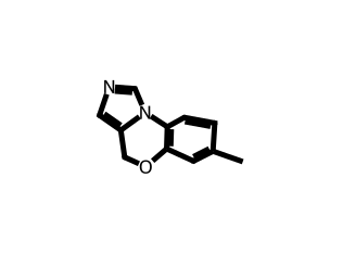 Cc1ccc2c(c1)OCc1cncn1-2